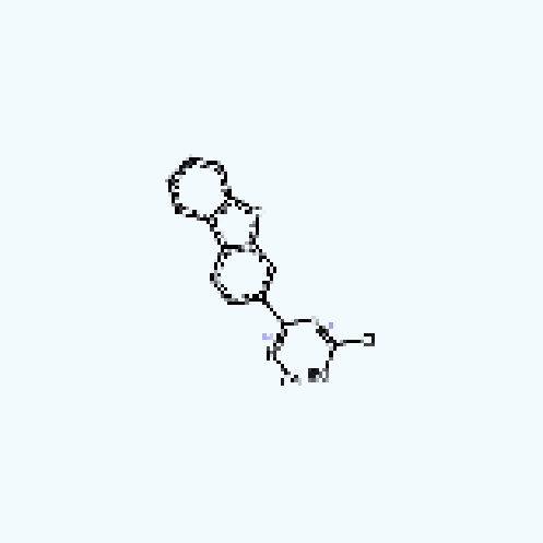 CCC/N=C(\N=C(\Cl)C(C)CC)c1ccc2c(c1)oc1ccccc12